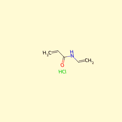 C=CNC(=O)C=C.Cl